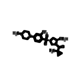 CN1CCN(c2ccc(S(=O)(=O)[C@@H]3C[C@@H](C(=O)O)N(C(=O)C4(C(F)(F)F)CC4)C3)c(C(F)(F)F)c2)CC1